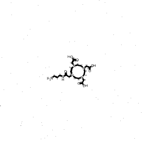 NCCCNC(=O)CN1CCN(CC(=O)O)CCN(CC(=O)O)CCN(CC(=O)O)CC1